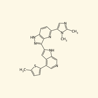 Cc1ccc(-c2cncc3[nH]c(-c4n[nH]c5ccc(-c6cnc(C)n6C)nc45)cc23)s1